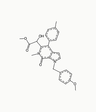 COC(=O)C(O)c1c(-c2ccc(C)cc2)c2ccn(Cc3ccc(OC)cc3)c2c(=O)n1C